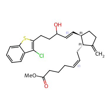 C=C1CC[C@H](/C=C/C(O)CCc2sc3ccccc3c2Cl)[C@H]1C/C=C\CCCC(=O)OC